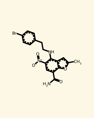 Cc1cc2c(NCCc3ccc(Br)cc3)c([N+](=O)[O-])cc(C(N)=O)c2o1